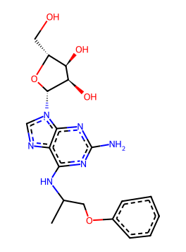 CC(COc1ccccc1)Nc1nc(N)nc2c1ncn2[C@@H]1O[C@H](CO)[C@@H](O)[C@H]1O